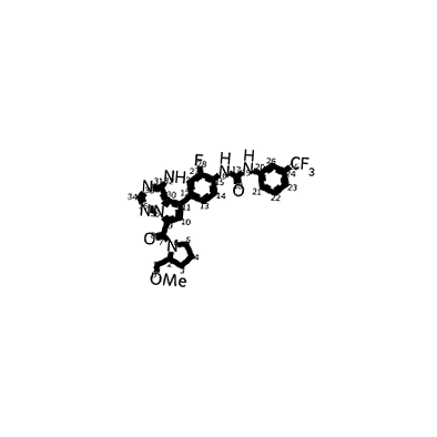 COCC1CCCN1C(=O)c1cc(-c2ccc(NC(=O)Nc3cccc(C(F)(F)F)c3)c(F)c2)c2c(N)ncnn12